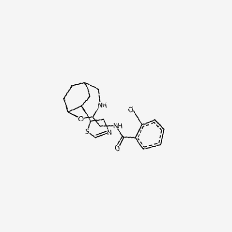 O=C(NCC1NCC2CCC(O1)C(C1CN=CS1)C2)c1ccccc1Cl